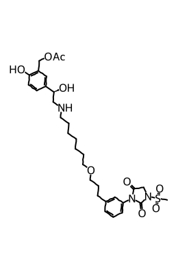 CC(=O)OCc1cc([C@@H](O)CNCCCCCCCOCCCc2cccc(N3C(=O)CN(S(C)(=O)=O)C3=O)c2)ccc1O